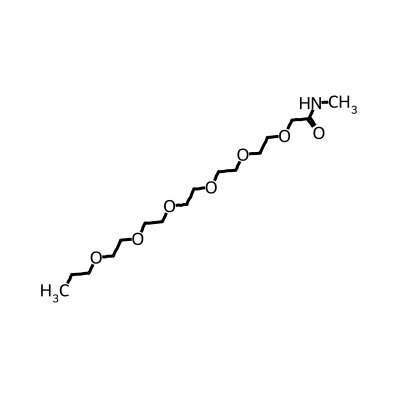 CCCOCCOCCOCCOCCOCCOCC(=O)NC